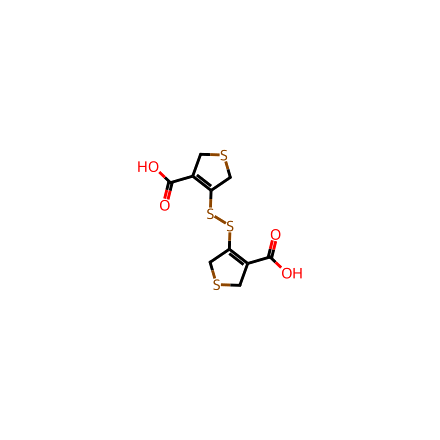 O=C(O)C1=C(SSC2=C(C(=O)O)CSC2)CSC1